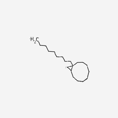 [CH2]CCCCCCCCC12[C]C1CCCCCCCC2